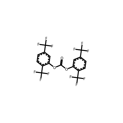 O=C(Oc1cc(C(F)(F)F)ccc1C(F)(F)F)Oc1cc(C(F)(F)F)ccc1C(F)(F)F